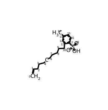 C=CCCCCCCCCCc1cc(C)ccc1S(=O)(=O)O